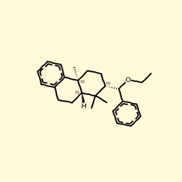 CCOC(c1ccccc1)[C@H]1CC[C@]2(C)c3ccccc3CC[C@H]2C1(C)C